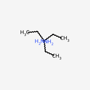 CCCCCCCC/C=C\CCCCCCCCC(N)C(N)(CCCCCCCC/C=C\CCCCCCCC)CCCCCCCC/C=C\CCCCCCCC